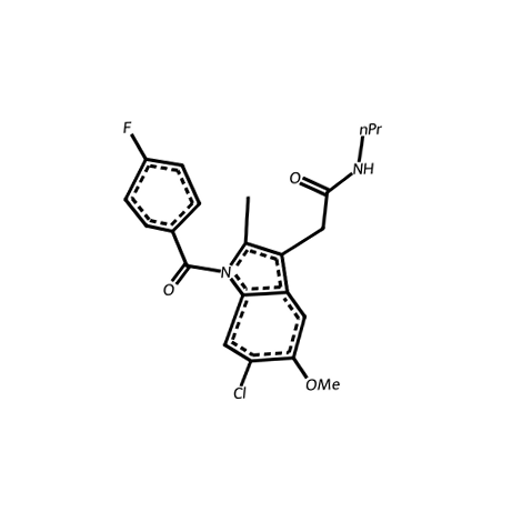 CCCNC(=O)Cc1c(C)n(C(=O)c2ccc(F)cc2)c2cc(Cl)c(OC)cc12